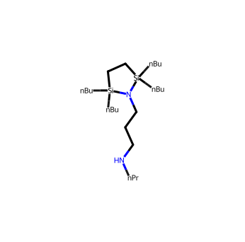 [CH2]CCNCCCN1[Si](CCCC)(CCCC)CC[Si]1(CCCC)CCCC